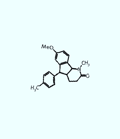 COc1ccc2c(c1)C(c1ccc(C)cc1)C1CCC(=O)N(C)C21